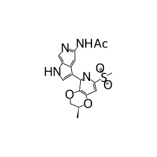 CC(=O)Nc1cc2c(-c3nc(S(C)(=O)=O)cc4c3OC[C@H](C)O4)c[nH]c2cn1